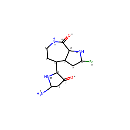 NC1CC(=O)C(C2CCNC(=O)C3NC(Br)CC32)N1